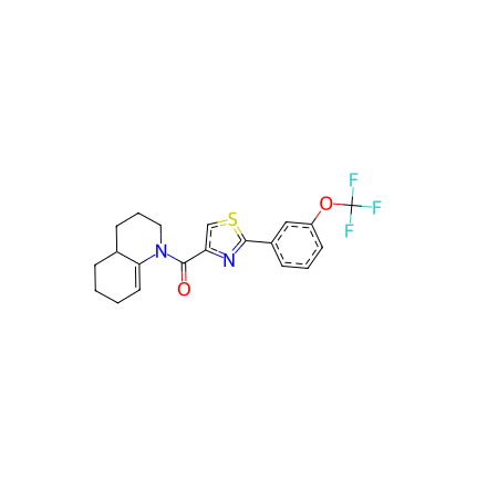 O=C(c1csc(-c2cccc(OC(F)(F)F)c2)n1)N1CCCC2CCCC=C21